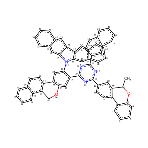 CC1Oc2ccccc2-c2ccc(-c3nc(-c4ccc5ccccc5c4)nc(-c4cc5c(cc4-n4c6cc7ccccc7cc6c6cc7ccccc7cc64)-c4ccc6ccccc6c4CO5)n3)cc21